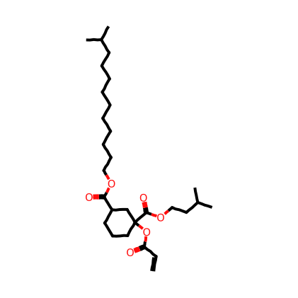 C=CC(=O)OC1(C(=O)OCCC(C)C)CCCC(C(=O)OCCCCCCCCCCC(C)C)C1